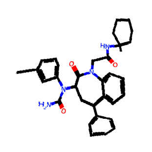 Cc1cccc(N(C(N)=O)C2CC(c3ccccc3)c3ccccc3N(CC(=O)NC3(C)CCCCC3)C2=O)c1